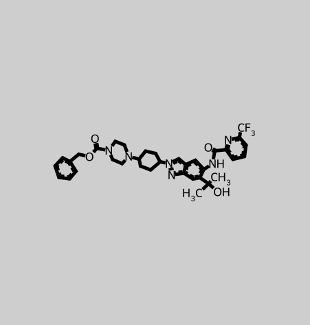 CC(C)(O)c1cc2nn(C3CCC(N4CCN(C(=O)OCc5ccccc5)CC4)CC3)cc2cc1NC(=O)c1cccc(C(F)(F)F)n1